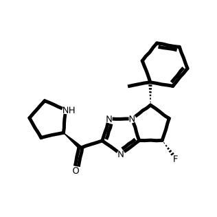 CC1([C@@H]2C[C@H](F)c3nc(C(=O)[C@H]4CCCN4)nn32)C=CC=CC1